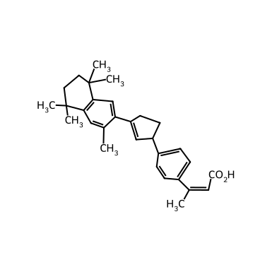 C/C(=C/C(=O)O)c1ccc(C2C=C(c3cc4c(cc3C)C(C)(C)CCC4(C)C)CC2)cc1